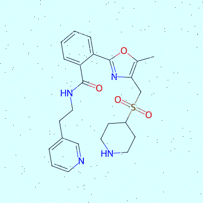 Cc1oc(-c2ccccc2C(=O)NCCc2cccnc2)nc1CS(=O)(=O)C1CCNCC1